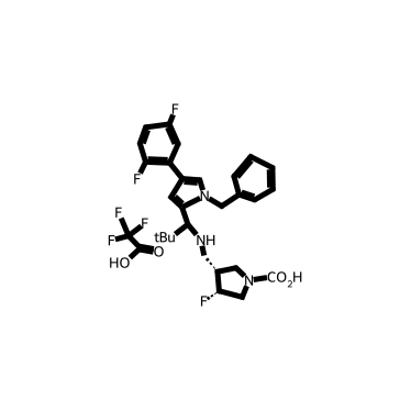 CC(C)(C)C(NC[C@@H]1CN(C(=O)O)C[C@@H]1F)c1cc(-c2cc(F)ccc2F)cn1Cc1ccccc1.O=C(O)C(F)(F)F